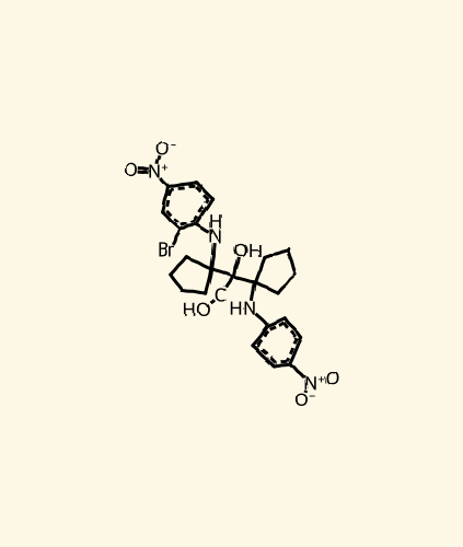 O=[N+]([O-])c1ccc(NC2(C(O)(CO)C3(Nc4ccc([N+](=O)[O-])cc4Br)CCCC3)CCCC2)cc1